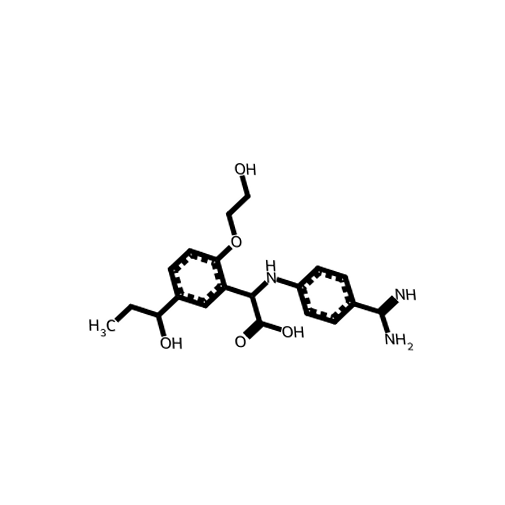 CCC(O)c1ccc(OCCO)c(C(Nc2ccc(C(=N)N)cc2)C(=O)O)c1